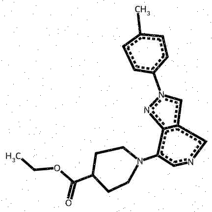 CCOC(=O)C1CCN(c2cncc3cn(-c4ccc(C)cc4)nc23)CC1